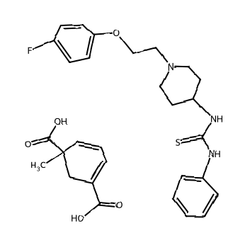 CC1(C(=O)O)C=CC=C(C(=O)O)C1.Fc1ccc(OCCN2CCC(NC(=S)Nc3ccccc3)CC2)cc1